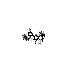 Cc1c(-c2cc(F)cc3c2cnn3S(C)(=O)=O)c(F)c(Cl)c2c1-n1c(C)nnc1C(C)(C)N2